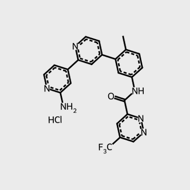 Cc1ccc(NC(=O)c2cc(C(F)(F)F)cnn2)cc1-c1ccnc(-c2ccnc(N)c2)c1.Cl